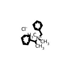 CC(c1ccccc1)[N+](C)(C)Cc1ccccc1.[Cl-]